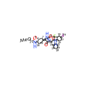 COCC(=O)Nc1ccc([C@H]2NC(=O)N([C@@H](Cc3ccccc3)C(=O)Nc3ccc(I)cc3F)C2=O)cc1